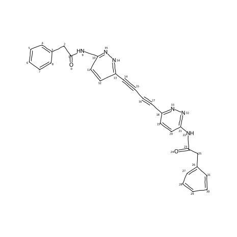 O=C(Cc1ccccc1)Nc1ccc(C#CC#Cc2ccc(NC(=O)Cc3ccccc3)nn2)nn1